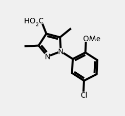 COc1ccc(Cl)cc1-n1nc(C)c(C(=O)O)c1C